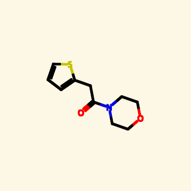 O=C(Cc1cccs1)N1CCOCC1